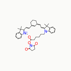 C[N+]1=C(C=CC2=CC(=CC=C3N(CCCCCC(=O)ON4C(=O)CCC4=O)c4ccccc4C3(C)C)CCC2)C(C)(C)c2ccccc21